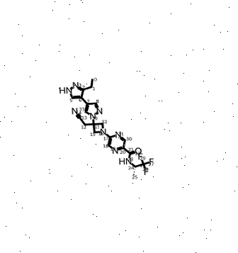 CCc1n[nH]cc1-c1cnn(C2(CC#N)CN(c3cnc(C(=O)N[C@@H](C)C(F)(F)F)cn3)C2)c1